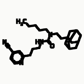 CCCCCN(CCC12CC3CC(CC(C3)C1)C2)C(=O)NCCCc1cc(C#N)ccn1